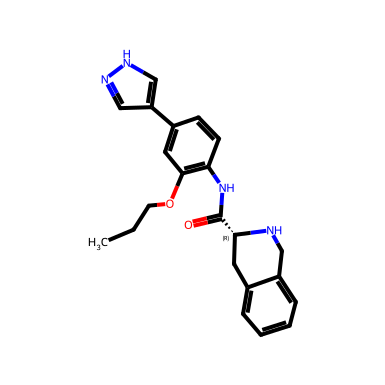 CCCOc1cc(-c2cn[nH]c2)ccc1NC(=O)[C@H]1Cc2ccccc2CN1